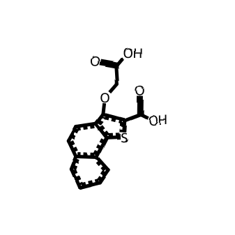 O=C(O)COc1c(C(=O)O)sc2c1ccc1ccccc12